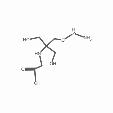 NPOCC(CO)(CO)NCC(=O)O